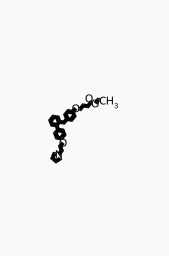 CCOC(=O)CCCOc1ccc(Cc2ccccc2-c2ccc(OCCN3CCCC3)cc2)cc1